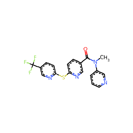 CN(C(=O)c1ccc(Sc2ccc(C(F)(F)F)cn2)nc1)c1cccnc1